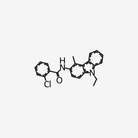 CCn1c2ccccc2c2c(C)c(NC(=O)c3ccccc3Cl)ccc21